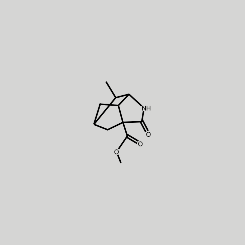 COC(=O)C12CC3CC1C(NC2=O)C3C